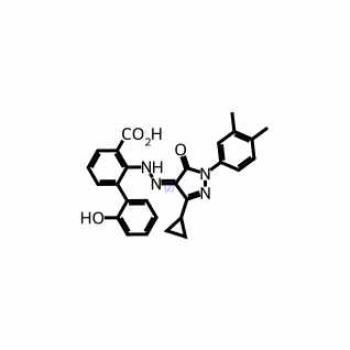 Cc1ccc(N2N=C(C3CC3)/C(=N/Nc3c(C(=O)O)cccc3-c3ccccc3O)C2=O)cc1C